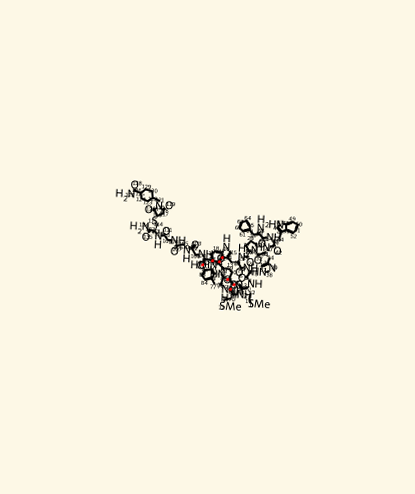 CSCC[C@@H](NC(=O)[C@@H](C)NC(=O)[C@@H](Cc1c[nH]c2ccccc12)NC(=O)[C@H]1CCCN1C(=O)[C@@H](Cc1c[nH]cn1)NC(=O)[C@@H](Cc1c[nH]c2ccccc12)NC(=O)[C@H](N)Cc1ccccc1)C(=O)N[C@H](CCSC)C(=O)N[C@H](Cc1ccc(O)cc1)C(=O)N[C@H](CCCCN)C(=O)NCC(=O)NCC(=O)NCC(=O)NCC(=O)N[C@H](CSC1CC(=O)N(CC2CCC(C(N)=O)CC2)C1=O)C(N)=O